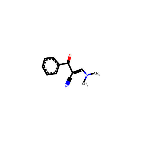 CN(C)C=C(C#N)C(=O)c1ccccc1